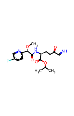 CO[C@H](C(=O)N[C@@H](CCC(=O)C=N)C(=O)OC(C)C)c1ccc(F)cn1